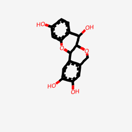 Oc1ccc2c(c1)OC1c3cc(O)c(O)cc3COC1C2O